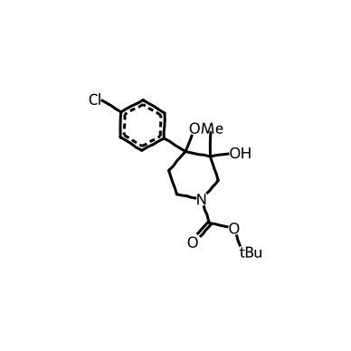 COC1(c2ccc(Cl)cc2)CCN(C(=O)OC(C)(C)C)CC1(C)O